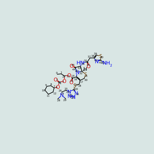 CCC(OC(=O)OC1CCCCC1)OC(=O)C1=C(CSc2nnnn2CCN(C)C)CS[C@@H]2[C@H](NC(=O)Cc3csc(N)n3)C(=O)N12